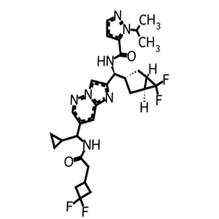 CC(C)n1nccc1C(=O)N[C@H](c1cn2ncc(C(NC(=O)CC3CC(F)(F)C3)C3CC3)cc2n1)[C@@H]1C[C@@H]2[C@H](C1)C2(F)F